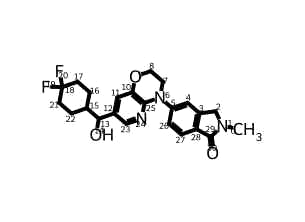 CN1Cc2cc(N3CCOc4cc(C(O)C5CCC(F)(F)CC5)cnc43)ccc2C1=O